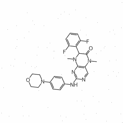 CN1C(=O)C(c2c(F)cccc2F)N(C)c2nc(Nc3ccc(N4CCOCC4)cc3)ncc21